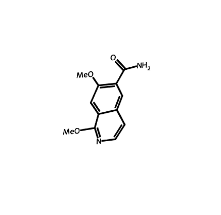 COc1cc2c(OC)nccc2cc1C(N)=O